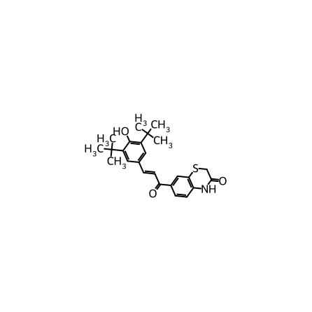 CC(C)(C)c1cc(C=CC(=O)c2ccc3c(c2)SCC(=O)N3)cc(C(C)(C)C)c1O